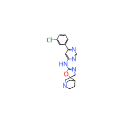 Clc1cccc(-c2cc(NC3=NC[C@@]4(CN5CCC4CC5)O3)ncn2)c1